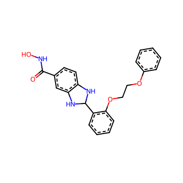 O=C(NO)c1ccc2c(c1)NC(c1ccccc1OCCOc1ccccc1)N2